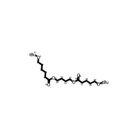 CC(C)(C)OCCCCCC(=O)OCCCCOC(=O)CCCCOC(C)(C)C